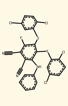 N#Cc1c(F)c(Sc2cc(Cl)ccc2Cl)c(Sc2cc(Cl)ccc2Cl)c(Nc2ccccc2)c1C#N